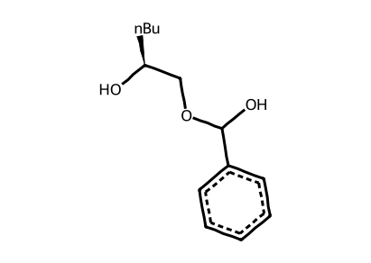 CCCC[C@H](O)COC(O)c1ccccc1